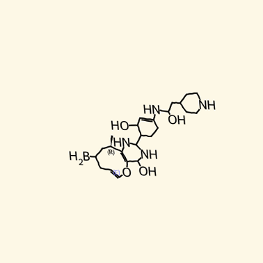 BC1C/C=C/OC2=C(NC(C3CCC(NC(O)CC4CCNCC4)=CC3O)NC2O)[C@H](C)C1